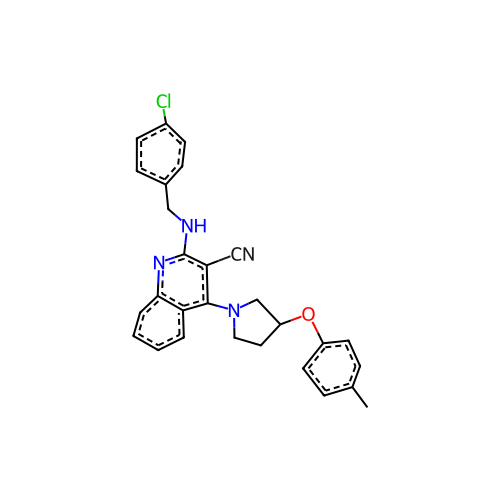 Cc1ccc(OC2CCN(c3c(C#N)c(NCc4ccc(Cl)cc4)nc4ccccc34)C2)cc1